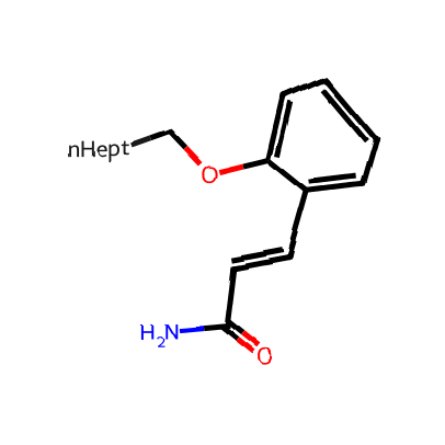 CCCCCCCCOc1ccccc1/C=C/C(N)=O